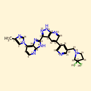 Cc1cn(-c2ccnc3[nH]c(-c4n[nH]c5ncc(-c6cncc(CN7CCC(F)(F)C7)c6)cc45)nc23)cn1